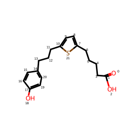 O=C(O)CCCCc1ccc(CCCc2ccc(O)cc2)s1